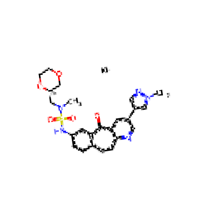 CN(C[C@@H]1COCCO1)S(=O)(=O)Nc1ccc2ccc3ncc(-c4cnn(C)c4)cc3c(=O)c2c1.[KH]